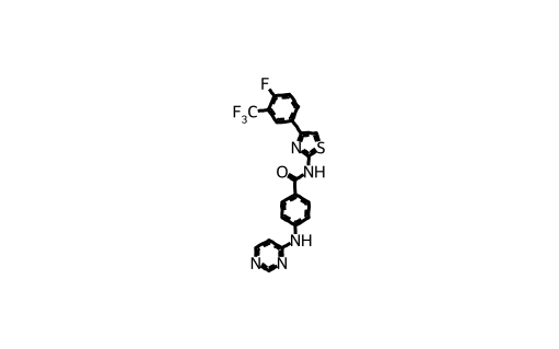 O=C(Nc1nc(-c2ccc(F)c(C(F)(F)F)c2)cs1)c1ccc(Nc2ccncn2)cc1